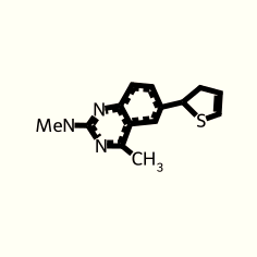 CNc1nc(C)c2cc(C3CC=CS3)ccc2n1